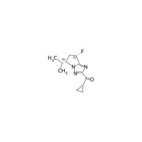 CC(C)[C@@H]1C[C@H](F)c2nc(C(=O)C3CC3)nn21